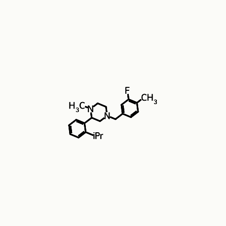 Cc1ccc(CN2CCN(C)C(c3ccccc3C(C)C)C2)cc1F